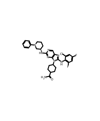 NC(=O)C1CCC(n2c(Nc3c(F)cc(F)cc3Cl)nc3cnc(N[C@@H]4CCCN(c5ccccc5)C4)nc32)CC1